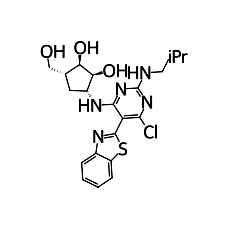 CC(C)CNc1nc(Cl)c(-c2nc3ccccc3s2)c(N[C@@H]2C[C@H](CO)[C@@H](O)[C@H]2O)n1